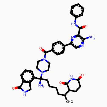 Nc1ncc(-c2ccc(C(=O)N3CCN(C(N)(CCCCC(C=O)C4CCC(=O)NC4=O)c4cccc5c4CNC5=O)CC3)cc2)nc1C(=O)Nc1ccccc1